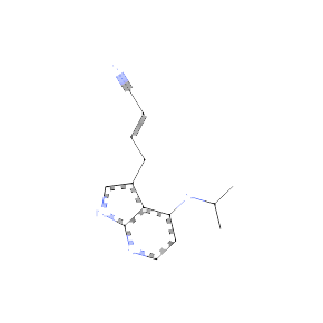 CC(C)Nc1ccnc2[nH]cc(CC=CC#N)c12